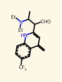 C=C1C=C(C(C=O)C(C)N(CC)CC)Nc2ccc(C(F)(F)F)cc21